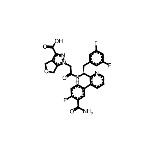 NC(=O)c1cc(-c2cccnc2[C@H](Cc2cc(F)cc(F)c2)NC(=O)Cn2nc(C(=O)O)c3c2COC3)ccc1F